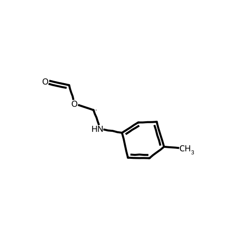 Cc1ccc(N[CH]OC=O)cc1